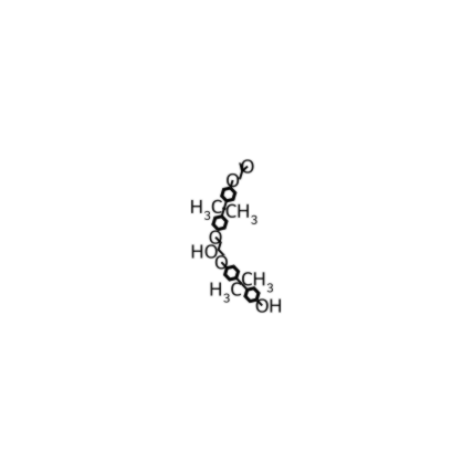 CC(C)(c1ccc(O)cc1)c1ccc(OCC(O)COc2ccc(C(C)(C)c3ccc(OCC4CO4)cc3)cc2)cc1